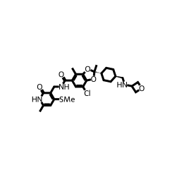 CSc1cc(C)[nH]c(=O)c1CNC(=O)c1cc(Cl)c2c(c1C)OC(C)([C@H]1CC[C@H](CNC3COC3)CC1)O2